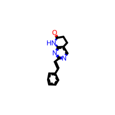 O=C1CCc2cnc(/C=C/c3ccccc3)nc2N1